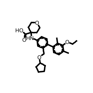 CCOc1c(C)ccc(-c2ccc(NC3(C(=O)O)CCOCC3)cc2COC2CCCC2)c1C